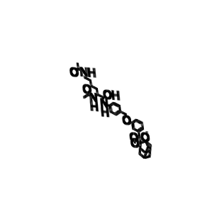 COC1(c2cccc(OCc3ccc(NC(O)C(CCCCNC(C)=O)NC(C)=O)cc3)c2)OOC12C1CC3CC(C1)CC2C3